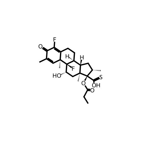 CCC(=O)O[C@]1(C(O)=S)[C@@H](C)C[C@H]2[C@@H]3CCC4=C(F)C(=O)C(C)=C[C@]4(C)[C@@]3(F)[C@@H](O)C[C@@]21C